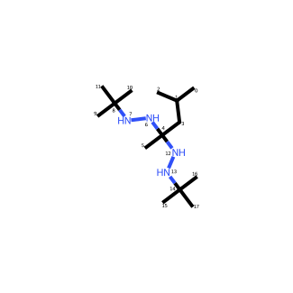 CC(C)CC(C)(NNC(C)(C)C)NNC(C)(C)C